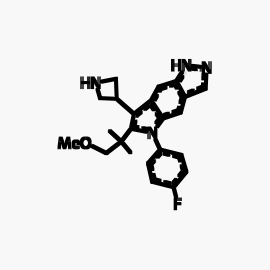 COCC(C)(C)c1c(C2CNC2)c2cc3[nH]ncc3cc2n1-c1ccc(F)cc1